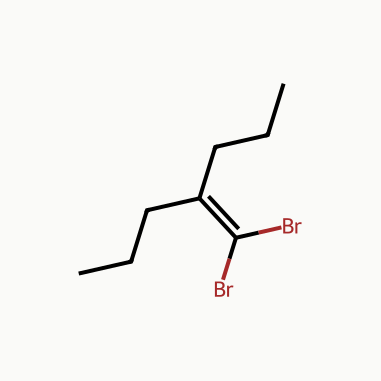 CCCC(CCC)=C(Br)Br